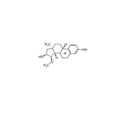 CO[C@@H]1[C@H]2[C@@H]3CCc4cc(O)ccc4[C@H]3CC[C@]2(C)C[C@@H]1O